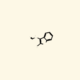 O=CNc1c(Cl)sc2ccccc12